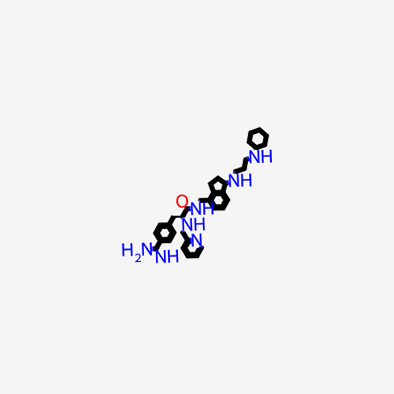 N=C(N)c1ccc(C[C@H](NCc2ccccn2)C(=O)NCc2cccc3c2CCC3NCCCNC2CCCCC2)cc1